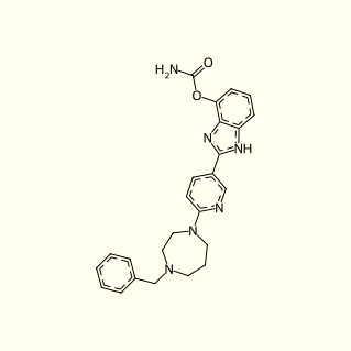 NC(=O)Oc1cccc2[nH]c(-c3ccc(N4CCCN(Cc5ccccc5)CC4)nc3)nc12